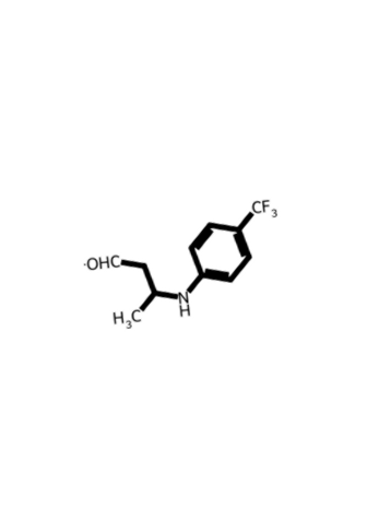 CC(C[C]=O)Nc1ccc(C(F)(F)F)cc1